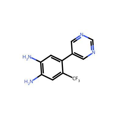 Nc1cc(-c2cncnc2)c(C(F)(F)F)cc1N